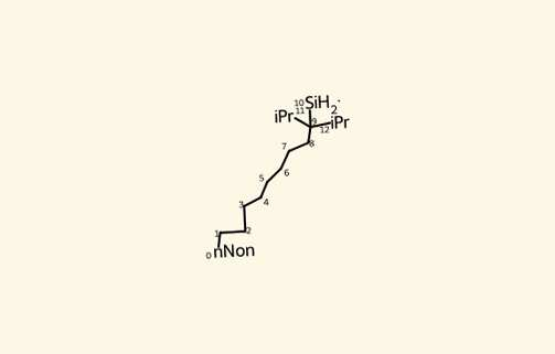 CCCCCCCCCCCCCCCCCC([SiH2])(C(C)C)C(C)C